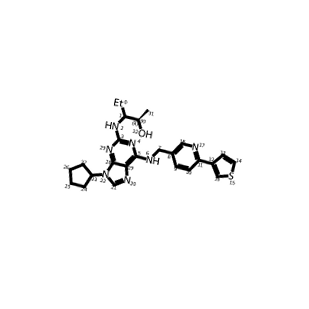 CCC(Nc1nc(NCc2ccc(-c3ccsc3)nc2)c2ncn(C3CCCC3)c2n1)[C@@H](C)O